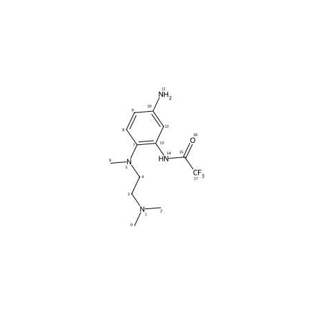 CN(C)CCN(C)c1ccc(N)cc1NC(=O)C(F)(F)F